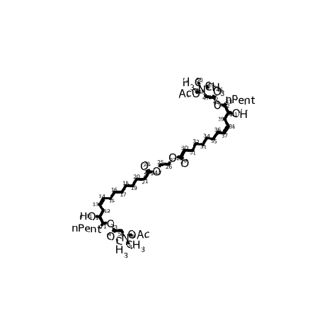 CCCCCC(OC(=O)C[N+](C)(C)OC(C)=O)C(O)C/C=C\CCCCCCCC(=O)OCCOC(=O)CCCCCCC/C=C\CC(O)C(CCCCC)OC(=O)C[N+](C)(C)OC(C)=O